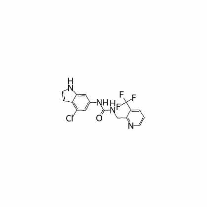 O=C(NCc1ncccc1C(F)(F)F)Nc1cc(Cl)c2cc[nH]c2c1